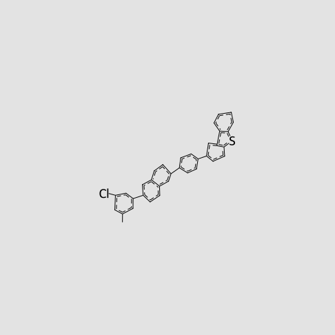 Cc1cc(Cl)cc(-c2ccc3cc(-c4ccc(-c5ccc6sc7ccccc7c6c5)cc4)ccc3c2)c1